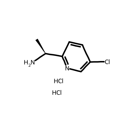 C[C@H](N)c1ccc(Cl)cn1.Cl.Cl